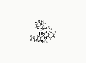 Cc1cccc2c1CC[C@H](N1C[C@H]3COC[C@H]3C1)[C@H]2Nc1ncnc2[nH]c(C3CC3)cc12